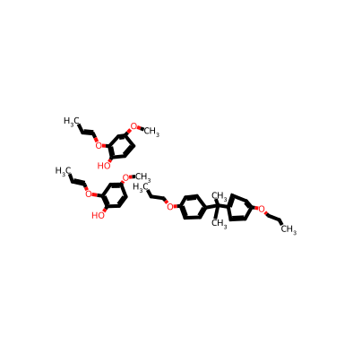 CC=COc1cc(OC)ccc1O.CC=COc1cc(OC)ccc1O.CCCOc1ccc(C(C)(C)c2ccc(OCCC)cc2)cc1